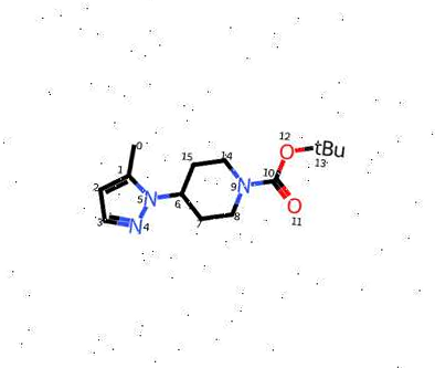 Cc1ccnn1C1CCN(C(=O)OC(C)(C)C)CC1